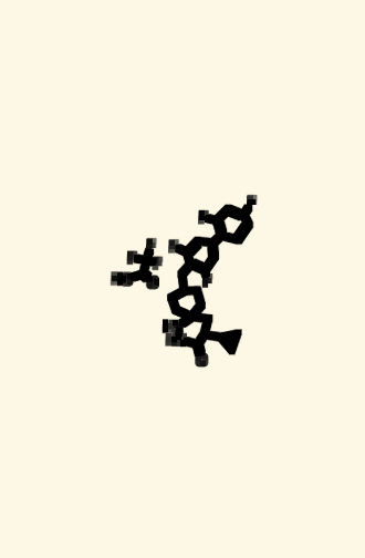 O=C(O)C(F)(F)F.O=C1NNC2(CCC(Cc3c(F)cc(-c4ccc(F)cc4F)cc3F)CC2)CC1C1CC1